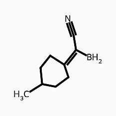 BC(C#N)=C1CCC(C)CC1